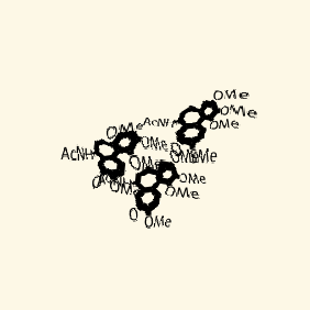 COc1cc2c(c(OC)c1OC)-c1ccc(OC)c(=O)cc1[C@@H](NC(C)=O)CC2.COc1cc2c(c(OC)c1OC)-c1ccc(OC)c(=O)cc1[C@@H](NC(C)=O)CC2.COc1cc2c(c(OC)c1OC)-c1ccc(SC)c(=O)cc1[C@@H](NC(C)=O)CC2